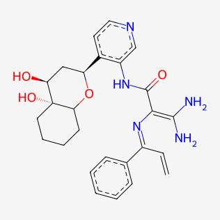 C=C/C(=N\C(C(=O)Nc1cnccc1[C@@H]1C[C@H](O)[C@]2(O)CCCCC2O1)=C(N)N)c1ccccc1